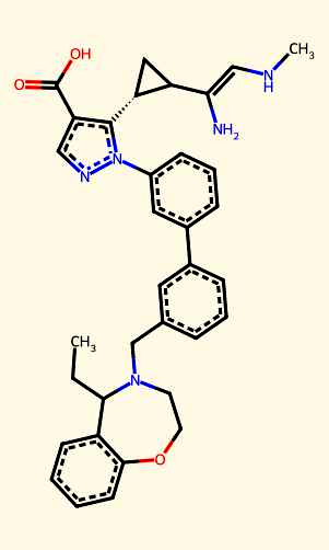 CCC1c2ccccc2OCCN1Cc1cccc(-c2cccc(-n3ncc(C(=O)O)c3[C@@H]3CC3/C(N)=C/NC)c2)c1